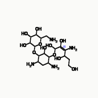 NCC1OC(OC2C(N)CC(N)C(OC(O)/C(O)=C(/N)C(O)CCO)C2O)C(O)C(O)C1O